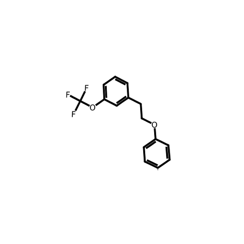 FC(F)(F)Oc1cccc(CCOc2cc[c]cc2)c1